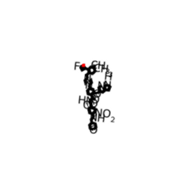 CC1(C)CCC(CN2CCN(c3ccc(C(=O)NS(=O)(=O)c4ccc(NCC5CCOCC5)c([N+](=O)[O-])c4)c(Oc4cnc5[nH]ccc5c4)c3)CC2)=C(C23CC(F)(C2)C3)C1